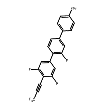 CCCc1ccc(-c2ccc(-c3cc(F)c(C#CC(F)(F)F)c(F)c3)c(F)c2)cc1